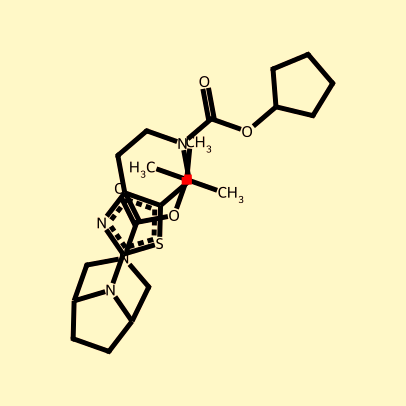 CC(C)(C)OC(=O)N1CC2CCC(C1)N2c1nc2c(s1)CN(C(=O)OC1CCCC1)CC2